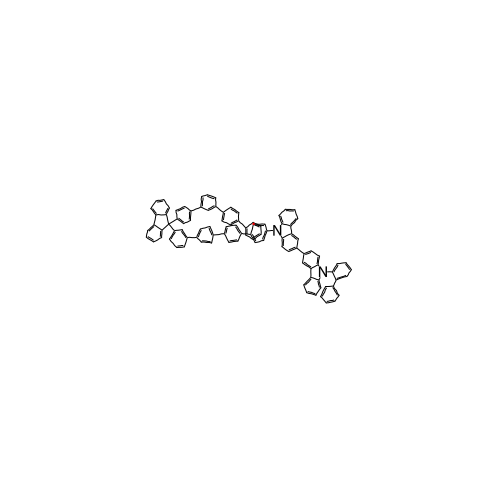 c1ccc(-c2ccc(-c3cccc(-c4ccc(C5(c6cccc(-c7ccc(-c8ccc(-c9ccc(-n%10c%11ccccc%11c%11cc(-c%12ccc%13c(c%12)c%12ccccc%12n%13-c%12ccccc%12-c%12ccccc%12)ccc%11%10)cc9)cc8)cc7)c6)c6ccccc6-c6ccccc65)cc4)c3)cc2)cc1